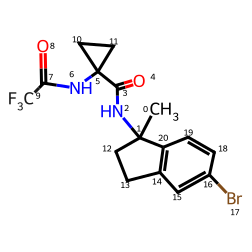 CC1(NC(=O)C2(NC(=O)C(F)(F)F)CC2)CCc2cc(Br)ccc21